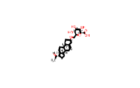 CC(=O)[C@H]1CC[C@H]2[C@@H]3CC=C4C[C@@H](OCC5O[C@H](C(=O)O)[C@@H](O)[C@H](O)[C@H]5O)CC[C@]4(C)[C@H]3CC[C@]12C